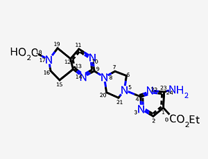 CCOC(=O)c1cnc(N2CCN(c3ncc4c(n3)CCN(C(=O)O)C4)CC2)nc1N